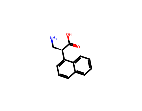 NC[C@@H](C(=O)O)c1cccc2ccccc12